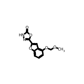 COCOc1cccc2oc(-c3n[nH]c(=O)o3)cc12